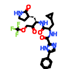 O=C(NC(CC1CC1)C(=O)N[C@@H](C[C@@H]1CCNC1=O)C(=O)COC(F)(F)F)c1ncc(-c2ccccc2)[nH]1